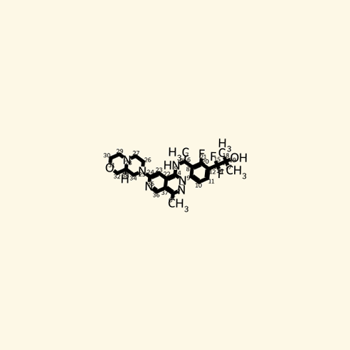 Cc1nnc(N[C@H](C)c2cccc(C(F)(F)C(C)(C)O)c2F)c2cc(N3CCN4CCOC[C@@H]4C3)ncc12